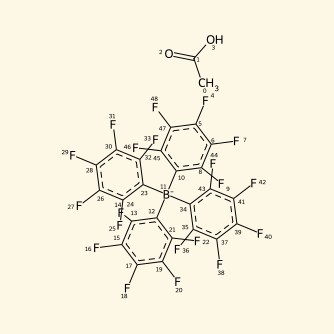 CC(=O)O.Fc1c(F)c(F)c([B-](c2c(F)c(F)c(F)c(F)c2F)(c2c(F)c(F)c(F)c(F)c2F)c2c(F)c(F)c(F)c(F)c2F)c(F)c1F